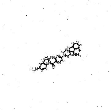 Nc1ccc2c(n1)CCN2C(=O)c1ncc(N2CCC3(CC2)Cc2cccc(F)c2C3N)nc1N